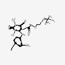 Cc1cc(I)ccc1Nc1c(C(=O)NOCCOC(C)(C)C)c(=O)n(C)c(=O)n1C